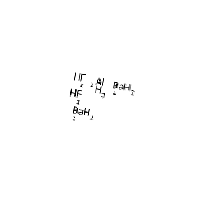 F.F.[AlH3].[BaH2].[BaH2]